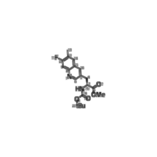 COC(=O)[C@H](Cc1cnc2cc(F)c(C)cc2c1)NC(=O)OC(C)(C)C